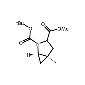 COC(=O)C1C[C@@]2(C)C[C@H]2N1C(=O)OC(C)(C)C